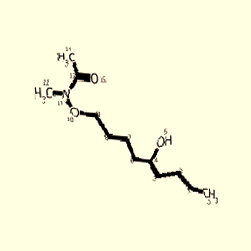 CCCCC(O)CCCCON(C)C(C)=O